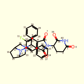 O=C1CCC(N2C(=O)c3cc(F)c(N4C5CCC4CN(C(c4ccccc4)c4ccccc4)C5)cc3C2=O)C(=O)N1